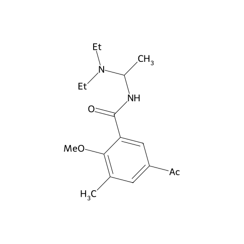 CCN(CC)C(C)NC(=O)c1cc(C(C)=O)cc(C)c1OC